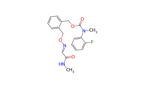 CNC(=O)C=NOCc1ccccc1COC(=O)N(C)c1ccccc1F